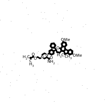 C=C(C)C(=O)OCCN1CCN(c2ccc(C3(c4ccccc4)C=Cc4c5c(c6ccc(OC)cc6c4O3)-c3ccc(OC)cc3C5(C)C)cc2)C(C(N)=O)C1